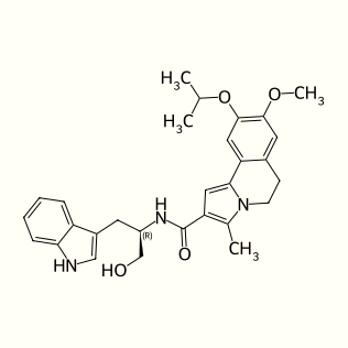 COc1cc2c(cc1OC(C)C)-c1cc(C(=O)N[C@@H](CO)Cc3c[nH]c4ccccc34)c(C)n1CC2